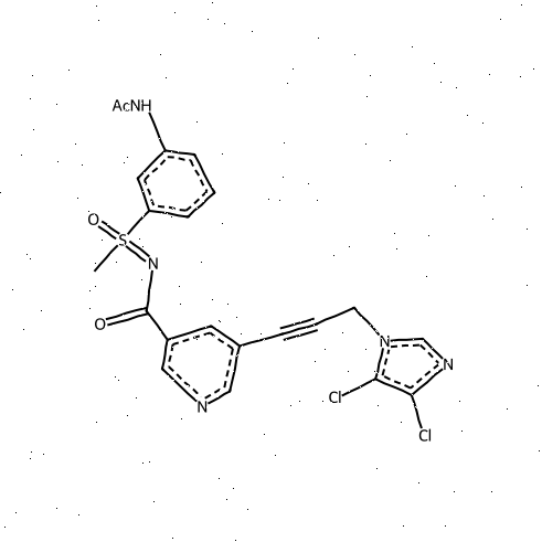 CC(=O)Nc1cccc(S(C)(=O)=NC(=O)c2cncc(C#CCn3cnc(Cl)c3Cl)c2)c1